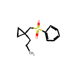 CCCC1(CS(=O)(=O)c2ccccc2)CC1